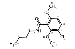 CCCCPC(=O)c1c(OC)ccc(Cl)c1OC